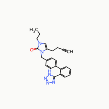 C#CCCc1cn(CCC)c(=O)n1Cc1ccc(-c2ccccc2-c2nnn[nH]2)cc1